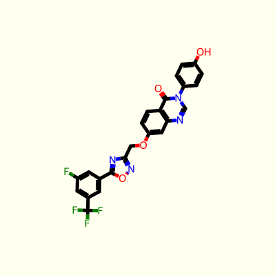 O=c1c2ccc(OCc3noc(-c4cc(F)cc(C(F)(F)F)c4)n3)cc2ncn1-c1ccc(O)cc1